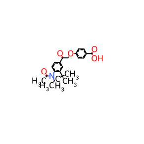 CCN(C(C)=O)c1ccc(C(=O)COc2ccc(C(=O)O)cc2)cc1C(C)(C)C